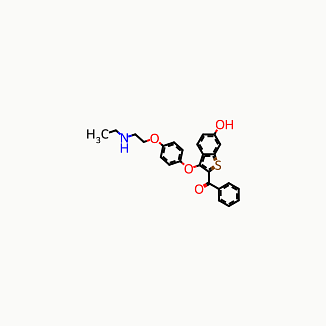 CCNCCOc1ccc(Oc2c(C(=O)c3ccccc3)sc3cc(O)ccc23)cc1